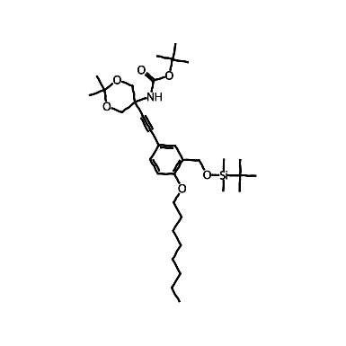 CCCCCCCCOc1ccc(C#CC2(NC(=O)OC(C)(C)C)COC(C)(C)OC2)cc1CO[Si](C)(C)C(C)(C)C